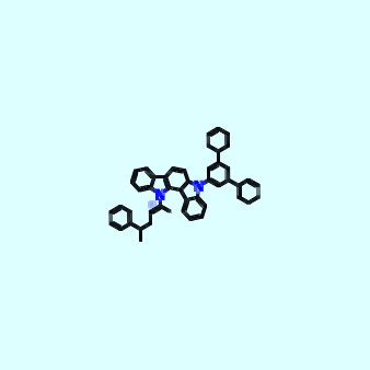 C/C(=C\CC(C)c1ccccc1)n1c2c(c3ccccc31)C=CC1C2c2ccccc2N1c1cc(C2=CCCC=C2)cc(C2C=CC=CC2)c1